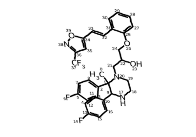 CC1(c2ccc(F)cc2)C(c2ccc(F)cc2)NCCN1CC(O)COc1ccccc1C=Cc1cc(C(F)(F)F)no1